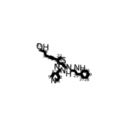 NC(CNc1nc(-c2ccncc2)nc2c(C#CCCCO)csc12)Cc1ccccc1